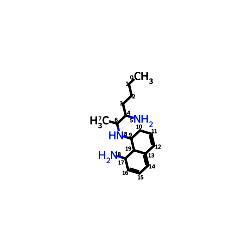 CCCCC(N)C(C)NC1CC=CC2=CC=CC(N)C21